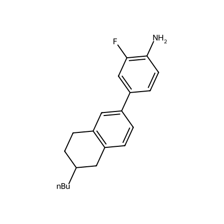 CCCCC1CCc2cc(-c3ccc(N)c(F)c3)ccc2C1